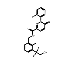 O=C(NCc1cccc(C(F)(F)CO)c1F)c1ccc(=O)n(-c2ccccc2F)n1